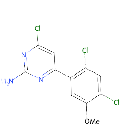 COc1cc(-c2cc(Cl)nc(N)n2)c(Cl)cc1Cl